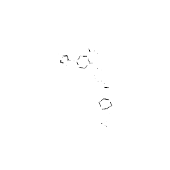 Cn1cnc(-c2ccc(O[C@H]3CCN(C(=O)Cc4ccc(OC5CC5)cc4)C[C@H]3F)c(C(N)=O)c2)c1